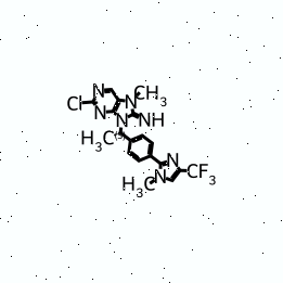 C[C@@H](c1ccc(-c2nc(C(F)(F)F)cn2C)cc1)n1c(=N)n(C)c2cnc(Cl)nc21